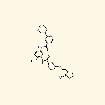 Cc1ccc(NC(=O)c2cccc(N3CCOCC3)c2)cc1NC(=O)c1cccc(OCCC2CCCN2C)c1